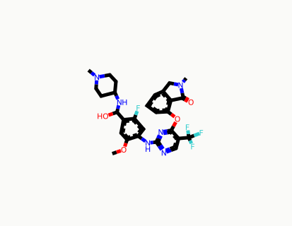 COc1cc(C(O)NC2CCN(C)CC2)c(F)cc1Nc1ncc(C(F)(F)F)c(Oc2cccc3c2C(=O)N(C)C3)n1